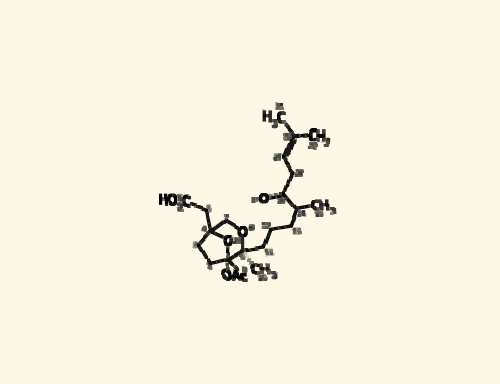 CC(=O)OC12CCC(CC(=O)O)(CO[C@@]1(C)CCCC(C)C(=O)CC=C(C)C)O2